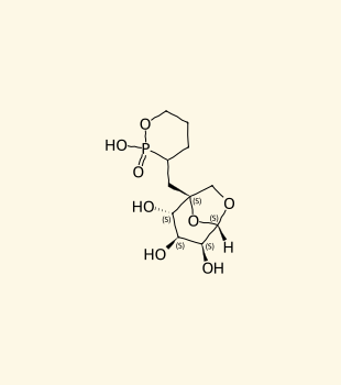 O=P1(O)OCCCC1C[C@@]12CO[C@@H](O1)[C@@H](O)[C@@H](O)[C@@H]2O